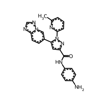 Cc1cccc(-n2nc(C(=O)Nc3ccc(N)cc3)cc2-c2ccc3ncnn3c2)n1